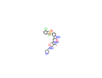 Cc1[nH]c(/C=C2\C(=O)Nc3ccc(S(=O)(=O)Cc4c(Cl)cccc4Cl)cc32)c(C)c1CC(=O)NCC1CCN(C)CC1